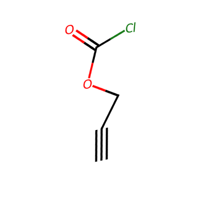 C#CCOC(=O)Cl